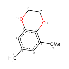 COc1cc(C)cc2c1OCCO2